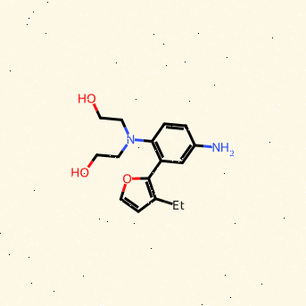 CCc1ccoc1-c1cc(N)ccc1N(CCO)CCO